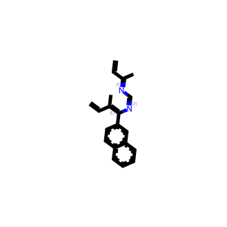 C=C/C(C)=N/C=N\C(=C(/C)C=C)c1ccc2ccccc2c1